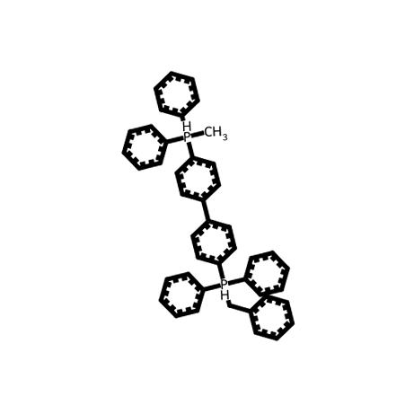 C[PH](c1ccccc1)(c1ccccc1)c1ccc(-c2ccc([PH](Cc3ccccc3)(c3ccccc3)c3ccccc3)cc2)cc1